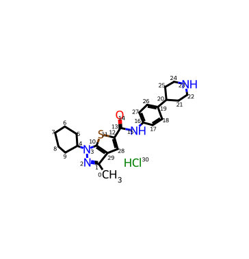 Cc1nn(C2CCCCC2)c2sc(C(=O)Nc3ccc(C4CCNCC4)cc3)cc12.Cl